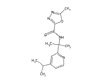 Cc1nnc(C(=O)NC(C)(C)c2cc(C(C)C)ccn2)o1